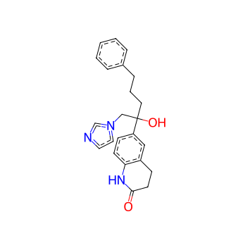 O=C1CCc2cc(C(O)(CCCc3ccccc3)Cn3ccnc3)ccc2N1